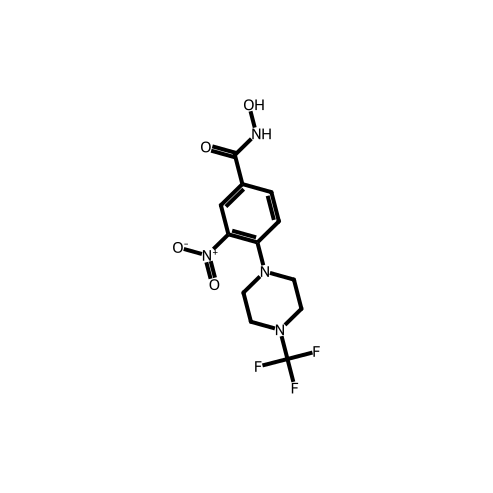 O=C(NO)c1ccc(N2CCN(C(F)(F)F)CC2)c([N+](=O)[O-])c1